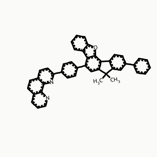 CC1(C)c2cc(-c3ccccc3)ccc2-c2c1cc(-c1ccc(-c3ccc4ccc5cccnc5c4n3)cc1)c1c2oc2ccccc21